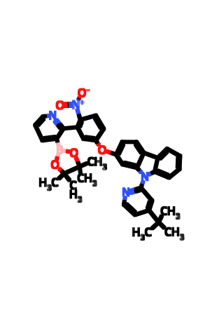 CC(C)(C)c1ccnc(-n2c3ccccc3c3ccc(Oc4ccc([N+](=O)[O-])c(-c5ncccc5B5OC(C)(C)C(C)(C)O5)c4)cc32)c1